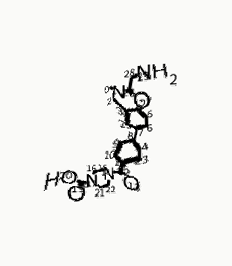 CN(Cc1cccc(-c2ccc(C(=O)N3CCN(C(=O)O)CC3)cc2)c1)C(=O)CN